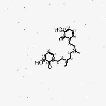 CN(CCN(C)CCn1cccc(O)c1=O)CCn1cccc(O)c1=O